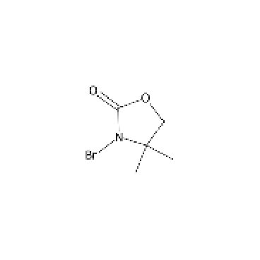 CC1(C)COC(=O)N1Br